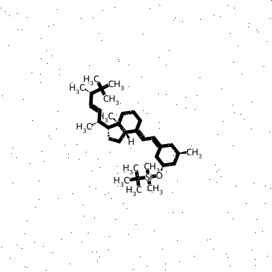 C[C@@H]1C/C(=C/C=C2\CCC[C@]3(C)[C@@H]([C@H](C)/C=C/[C@H](C)C(C)(C)C)CC[C@@H]23)C[C@@H](O[Si](C)(C)C(C)(C)C)C1